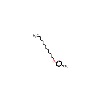 C=CCCCCCCCCCCOc1ccc(C)cc1